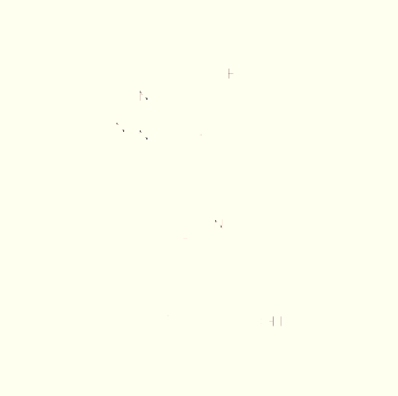 Cn1cnnc1-c1cc(F)ccc1-c1cccc(-c2nc3cc(CO)cc(C4CC4)c3o2)c1